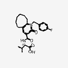 CC(C)[C@H](NC(=O)c1cc2c(n(Cc3ccc(F)cc3)c1=O)CCCCCC2)C(=O)O